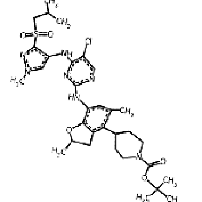 Cc1cc(Nc2ncc(Cl)c(Nc3cn(C)nc3S(=O)(=O)CC(C)C)n2)c2c(c1C1CCN(C(=O)OC(C)(C)C)CC1)C[C@@H](C)O2